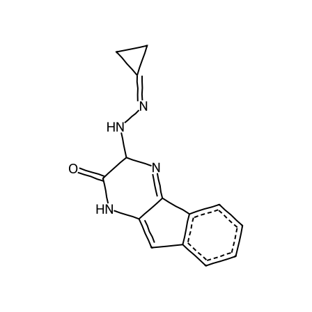 O=C1NC2=Cc3ccccc3C2=NC1NN=C1CC1